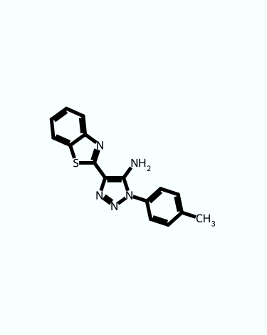 Cc1ccc(-n2nnc(-c3nc4ccccc4s3)c2N)cc1